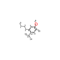 CCCCc1cc(OC)c(C)cc1C(C)C